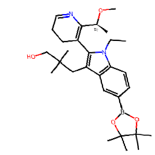 CCn1c(C2=C([C@H](C)OC)N=CCC2)c(CC(C)(C)CO)c2cc(B3OC(C)(C)C(C)(C)O3)ccc21